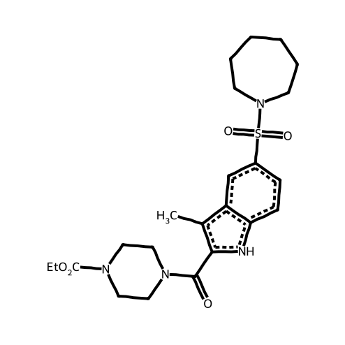 CCOC(=O)N1CCN(C(=O)c2[nH]c3ccc(S(=O)(=O)N4CCCCCC4)cc3c2C)CC1